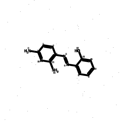 Nc1ccc(/N=N/c2ccccc2O)c(N)n1